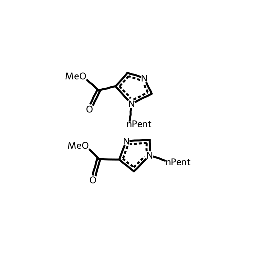 CCCCCn1cnc(C(=O)OC)c1.CCCCCn1cncc1C(=O)OC